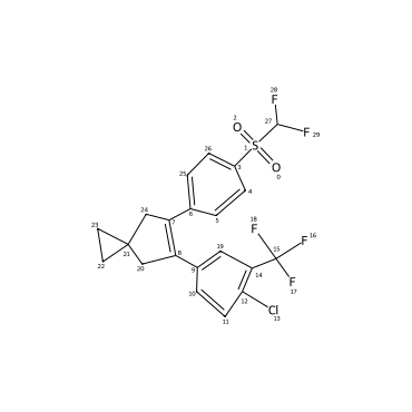 O=S(=O)(c1ccc(C2=C(c3ccc(Cl)c(C(F)(F)F)c3)CC3(CC3)C2)cc1)C(F)F